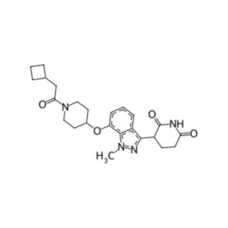 Cn1nc(C2CCC(=O)NC2=O)c2cccc(OC3CCN(C(=O)CC4CCC4)CC3)c21